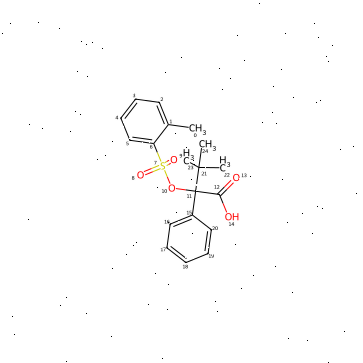 Cc1ccccc1S(=O)(=O)OC(C(=O)O)(c1ccccc1)C(C)(C)C